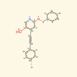 Oc1cnc(OCc2ccccc2)cc1C#Cc1ccc(F)cc1